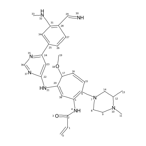 C=CC(=O)NC1=C(N2CCN(C)C(C)C2)C=CC(OC)C(Nc2cc(-c3ccc(C=N)c(NC)c3)ncn2)=C1